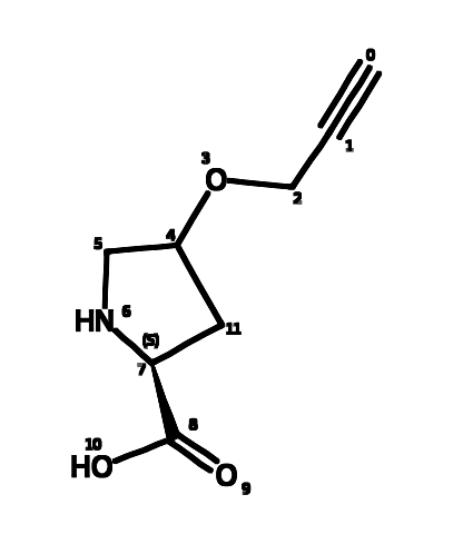 C#CCOC1CN[C@H](C(=O)O)C1